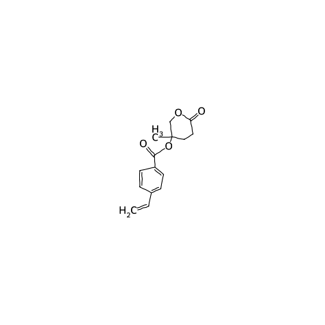 C=Cc1ccc(C(=O)OC2(C)CCC(=O)OC2)cc1